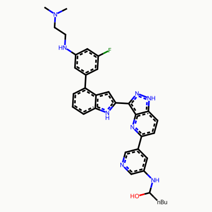 CCCCC(O)Nc1cncc(-c2ccc3[nH]nc(-c4cc5c(-c6cc(F)cc(NCCN(C)C)c6)cccc5[nH]4)c3n2)c1